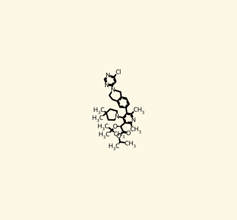 Cc1nc(C)c([C@H](OC(C)(C)C)C(=O)OC(C)C)c(N2CCC(C)(C)CC2)c1-c1ccc2c(c1)CCN(c1cc(Cl)ncn1)C2